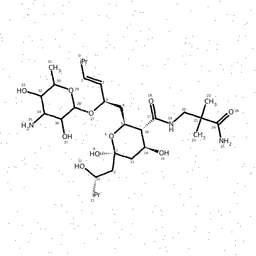 CC(C)/C=C/[C@@H](C[C@@H]1O[C@](O)(C[C@@H](O)C(C)C)C[C@H](O)[C@H]1C(=O)NCC(C)(C)C(N)=O)OC1OC(C)C(O)C(N)C1O